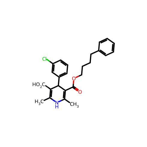 CC1=C(C(=O)O)C(c2cccc(Cl)c2)C(C(=O)OCCCCc2ccccc2)=C(C)N1